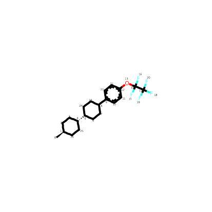 C[C@H]1CC[C@H](C2CCC(c3ccc(OC(F)(F)C(F)(F)F)cc3)CC2)CC1